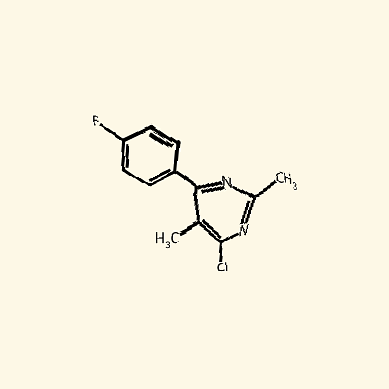 Cc1nc(Cl)c(C)c(-c2ccc(F)cc2)n1